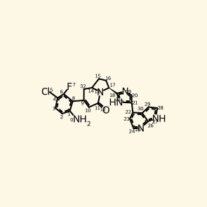 Nc1ccc(Cl)c(F)c1C1=CC(=O)N2C(CC[C@H]2c2ncc(-c3ccnc4[nH]ccc34)[nH]2)C1